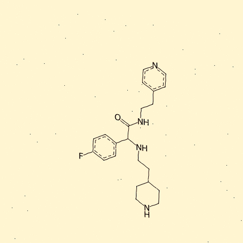 O=C(NCCc1ccncc1)C(NCCC1CCNCC1)c1ccc(F)cc1